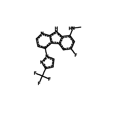 CNc1cc(F)cc2c1[nH]c1nccc(-n3ccc(C(F)(F)F)n3)c12